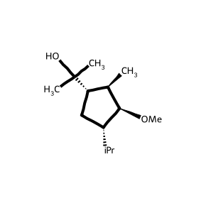 CO[C@@H]1[C@H](C)[C@@H](C(C)(C)O)C[C@H]1C(C)C